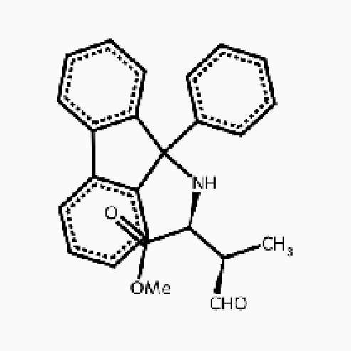 COC(=O)[C@@H](NC1(c2ccccc2)c2ccccc2-c2ccccc21)[C@@H](C)C=O